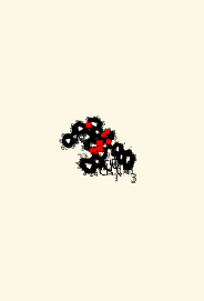 CC1(C)c2ccccc2-c2ccc(C(c3ccc4c(c3)C(C)(C)c3ccccc3-4)c3ccccc3-c3cccc4c3C3(c5ccccc5-c5ccccc53)c3cccc5c6ccccc6n-4c35)cc21